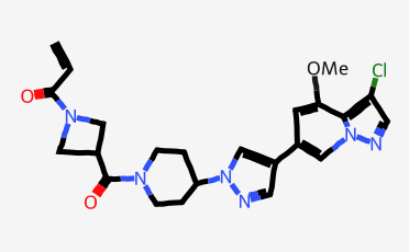 C=CC(=O)N1CC(C(=O)N2CCC(n3cc(-c4cc(OC)c5c(Cl)cnn5c4)cn3)CC2)C1